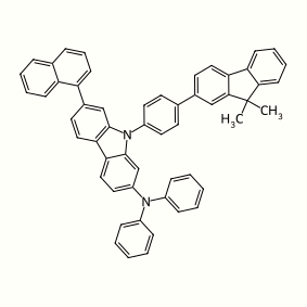 CC1(C)c2ccccc2-c2ccc(-c3ccc(-n4c5cc(-c6cccc7ccccc67)ccc5c5ccc(N(c6ccccc6)c6ccccc6)cc54)cc3)cc21